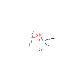 CCCCC(CC)COP(=O)([O-])OCC(CC)CCCC.[Ca+]